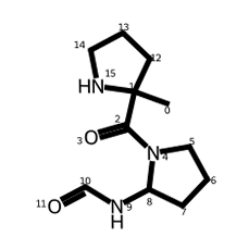 CC1(C(=O)N2CCCC2NC=O)CCCN1